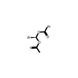 CC(=S)O[C@H](OC(=O)C(C)C)C(C)C